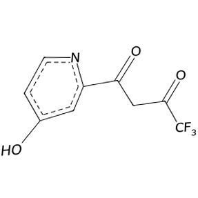 O=C(CC(=O)C(F)(F)F)c1cc(O)ccn1